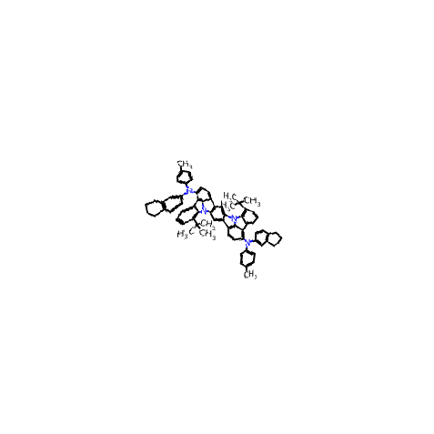 Cc1ccc(N(c2ccc3c(c2)CCCC3)c2ccc3c4cc5c(cc4n4c6c(C(C)(C)C)cccc6c2c34)c2ccc(N(c3ccc(C)cc3)c3ccc4c(c3)CCCC4)c3c4cccc(C(C)(C)C)c4n5c23)cc1